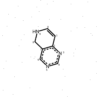 C1=Cc2ncncc2CN1